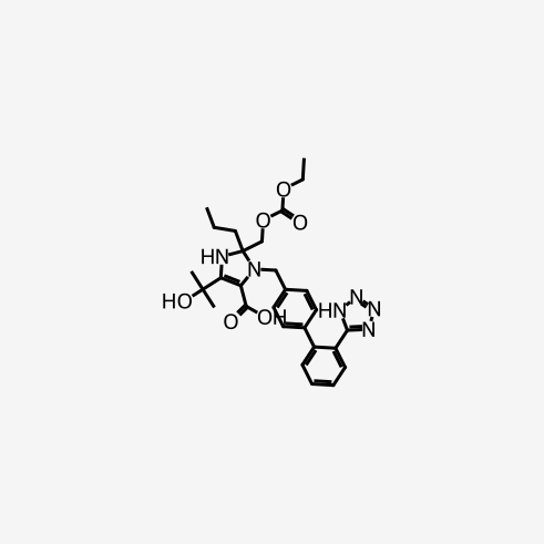 CCCC1(COC(=O)OCC)NC(C(C)(C)O)=C(C(=O)O)N1Cc1ccc(-c2ccccc2-c2nnn[nH]2)cc1